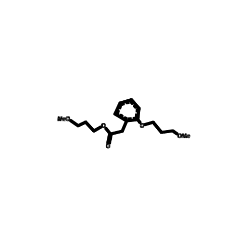 COCCCOC(=O)Cc1ccccc1OCCCOC